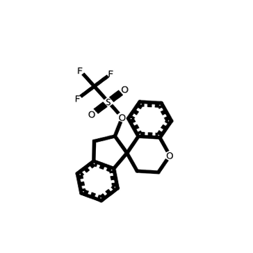 O=S(=O)(OC1Cc2ccccc2C12CCOc1ccccc12)C(F)(F)F